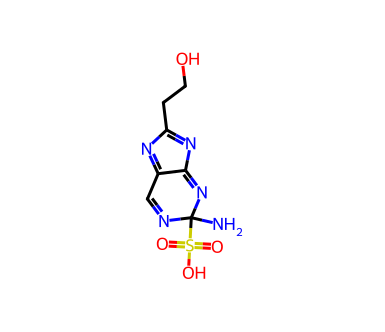 NC1(S(=O)(=O)O)N=CC2=NC(CCO)=NC2=N1